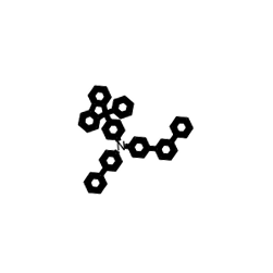 c1ccc(-c2ccc(N(c3ccc(-c4cccc(-c5ccccc5)c4)cc3)c3ccc(C4(c5ccccc5)c5ccccc5-c5ccccc54)cc3)cc2)cc1